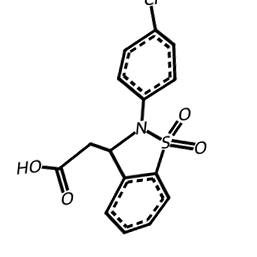 O=C(O)CC1c2ccccc2S(=O)(=O)N1c1ccc(Cl)cc1